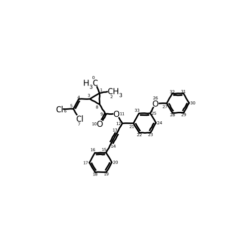 CC1(C)C(C=C(Cl)Cl)C1C(=O)OC(C#Cc1ccccc1)c1cccc(Oc2ccccc2)c1